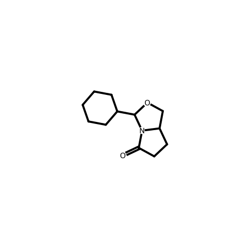 O=C1CCC2COC(C3CCCCC3)N12